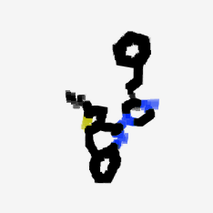 Cc1cc2c(s1)Cc1ccccc1N=C2N1CCN[C@@H](CCc2ccccc2)C1